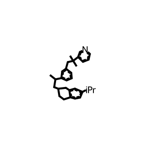 CC(C)c1ccc2c(c1)CC(CC(C)c1cccc(CC(C)(C)c3cccnc3)c1)CC2